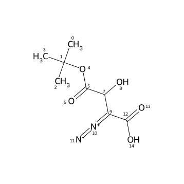 CC(C)(C)OC(=O)C(O)C(=[N+]=[N-])C(=O)O